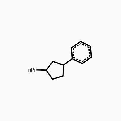 CCCC1CCC(c2cc[c]cc2)C1